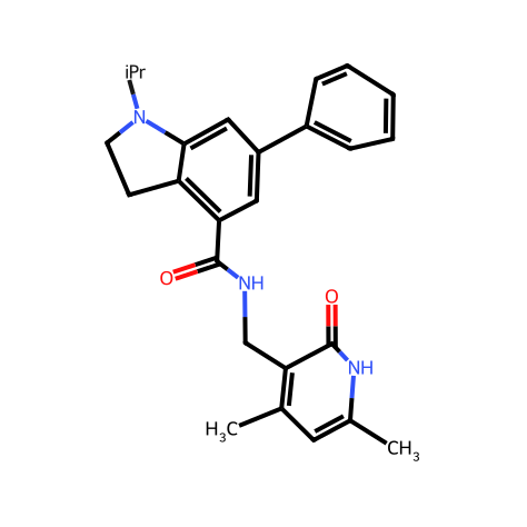 Cc1cc(C)c(CNC(=O)c2cc(-c3ccccc3)cc3c2CCN3C(C)C)c(=O)[nH]1